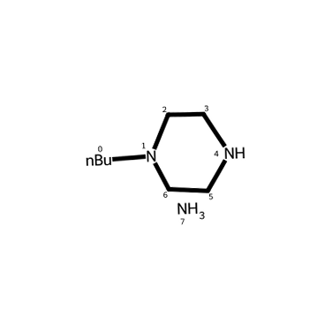 CCCCN1CCNCC1.N